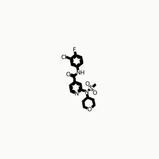 CS(=O)(=O)N(c1cc(C(=O)Nc2ccc(F)c(Cl)c2)ccn1)C1CCOCC1